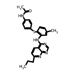 CCCc1ccc2c(Nc3cc(C)ccc3Sc3ccc(NC(C)=O)cc3)ncnc2n1